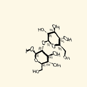 OC[C@H]1O[C@@H](O[C@H]2[C@H](OI)O[C@H](CO)[C@@H](O)[C@@H]2O)[C@H](O)[C@@H](O)[C@@H]1O